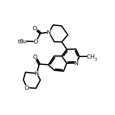 Cc1cc(C2CCCN(C(=O)OC(C)(C)C)C2)c2cc(C(=O)N3CCOCC3)ccc2n1